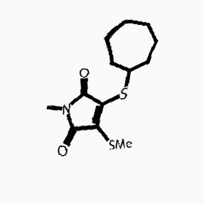 CSC1=C(SC2CCCCCC2)C(=O)N(C)C1=O